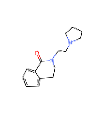 O=C1c2ccccc2CCN1CCN1CCCC1